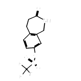 O=C1CCc2ccc(OS(=O)(=O)C(F)(F)F)cc2CN1